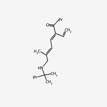 C=C/C(=C\C=C(/C)CNC(C)(C)C(C)C)C(=O)C(C)C